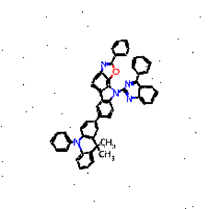 CC1(C)c2ccccc2N(c2ccccc2)c2ccc(-c3ccc4c(c3)c3ccc5nc(-c6ccccc6)oc5c3n4-c3nc(-c4ccccc4)c4ccccc4n3)cc21